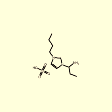 CCCCN1C=CN(C(N)CC)C1.[O]=[Re](=[O])(=[O])[OH]